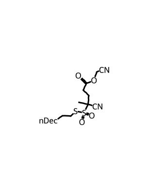 CCCCCCCCCCCCSS(=O)(=O)C(C)(C#N)CCC(=O)OCC#N